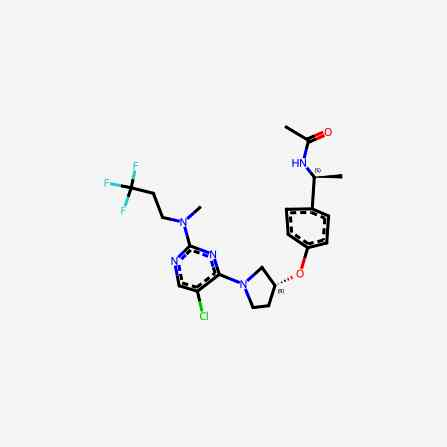 CC(=O)N[C@@H](C)c1ccc(O[C@@H]2CCN(c3nc(N(C)CCC(F)(F)F)ncc3Cl)C2)cc1